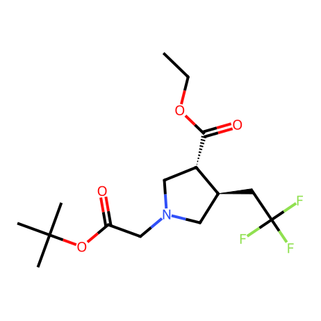 CCOC(=O)[C@H]1CN(CC(=O)OC(C)(C)C)C[C@@H]1CC(F)(F)F